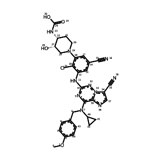 COc1ccc(CN(c2nc(Nc3cc(C#N)cc(N4CC[C@@H](NC(=O)O)[C@@H](O)C4)c3Cl)nn3c(C#N)cnc23)C2CC2)cc1